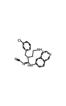 N#C/N=C(/Nc1ccc2cnccc2c1)N(CCN)Cc1cccc(Cl)c1